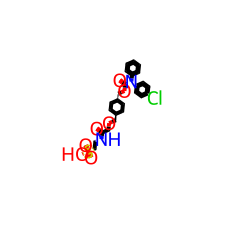 O=C(COC[C@H]1CC[C@H](COC(=O)N(c2ccccc2)c2ccc(Cl)cc2)CC1)NCCS(=O)(=O)O